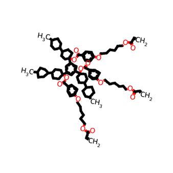 C=CC(=O)OCCCCCCOc1ccc(C(=O)OC2(c3cc(C4(OC(=O)c5ccc(OCCCCCCOC(=O)C=C)cc5)CCC(C5CCC(C)CC5)CC4)cc(C4(OC(=O)c5ccc(OCCCCCCOC(=O)C=C)cc5)CCC(C5CCC(C)CC5)CC4)c3)CCC(C3CCC(C)CC3)CC2)cc1